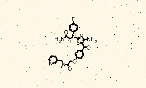 C[C@H](C(N)=O)N(c1ccc(F)cc1)c1nc(N)c(C(=O)c2ccc(OCC(=O)N(C)Cc3cccnc3)cc2)s1